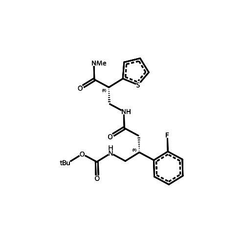 CNC(=O)[C@@H](CNC(=O)C[C@@H](CNC(=O)OC(C)(C)C)c1ccccc1F)c1cccs1